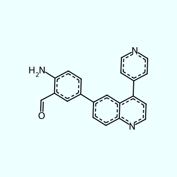 Nc1ccc(-c2ccc3nccc(-c4ccncc4)c3c2)cc1C=O